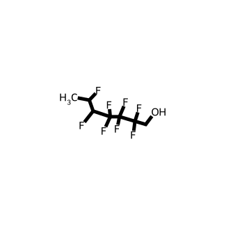 CC(F)C(F)C(F)(F)C(F)(F)C(F)(F)CO